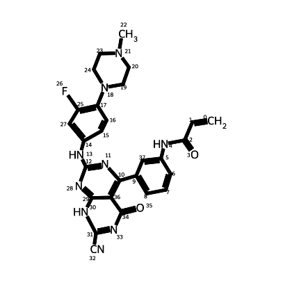 C=CC(=O)Nc1cccc(-c2nc(Nc3ccc(N4CCN(C)CC4)c(F)c3)nc3[nH]c(C#N)nc(=O)c23)c1